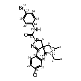 CCOC(=O)C1(COC)CN(C(=O)Nc2ccc(Br)cc2)N=C1c1ccc(Cl)cc1